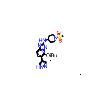 CC(C)COc1c(-c2cn[nH]c2)ccc2nc(NC3CCN(S(C)(=O)=O)CC3)nn12